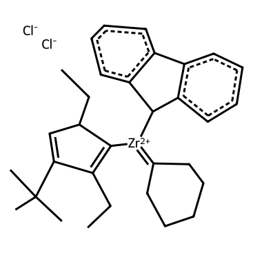 CCC1=[C]([Zr+2](=[C]2CCCCC2)[CH]2c3ccccc3-c3ccccc32)C(CC)C=C1C(C)(C)C.[Cl-].[Cl-]